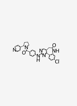 O=C1Cc2cnc(Nc3ccc(C(=O)N4CCCC4c4ccncc4)cc3)nc2-c2ccc(Cl)cc2N1